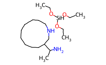 CC(N)C1CCCCCCCCCNC1.CCO[SiH](OCC)OCC